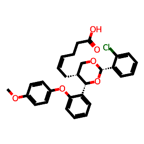 COc1ccc(Oc2ccccc2[C@H]2O[C@@H](c3ccccc3Cl)OC[C@H]2C/C=C\CCC(=O)O)cc1